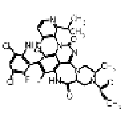 C=CC(=O)N1CC2C(=O)Nc3c(F)c(-c4c(N)c(Cl)cc(Cl)c4F)c(Cl)c4c3c(nc(=O)n4-c3c(C)ccnc3C(C)C)N2CC1C